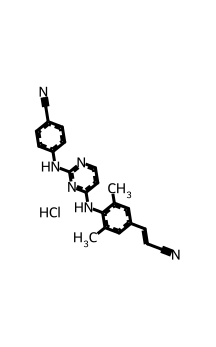 Cc1cc(C=CC#N)cc(C)c1Nc1ccnc(Nc2ccc(C#N)cc2)n1.Cl